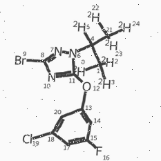 [2H]C([2H])([2H])C([2H])(n1nc(Br)nc1Oc1cc(F)cc(Cl)c1)C([2H])([2H])[2H]